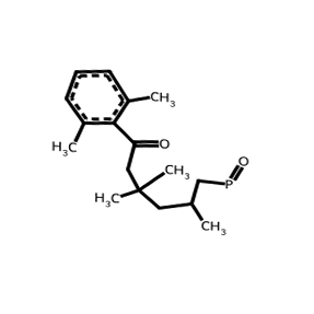 Cc1cccc(C)c1C(=O)CC(C)(C)CC(C)CP=O